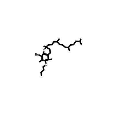 CCCCOc1c(C)c(Br)c2c(c1C)CCC(C)(CCCC(C)CCCC(C)CCCC(C)C)O2